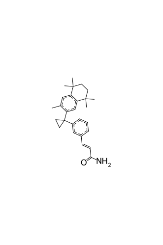 Cc1cc2c(cc1C1(c3cccc(C=CC(N)=O)c3)CC1)C(C)(C)CCC2(C)C